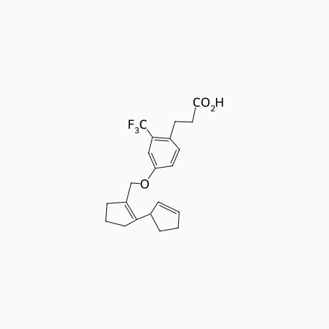 O=C(O)CCc1ccc(OCC2=C(C3C=CCC3)CCC2)cc1C(F)(F)F